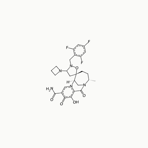 C[C@H]1CC[C@]2(CC(N3CCC3)N(Cc3c(F)cc(F)cc3F)O2)[C@H]2CN1C(=O)c1c(O)c(=O)c(C(N)=O)cn12